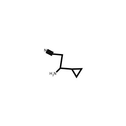 N#CCC(N)C1CC1